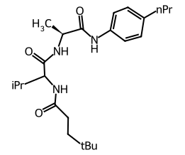 CCCc1ccc(NC(=O)[C@H](C)NC(=O)C(NC(=O)CCC(C)(C)C)C(C)C)cc1